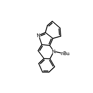 CCCCn1c2c3ccccc3nc-2cc2ccccc21